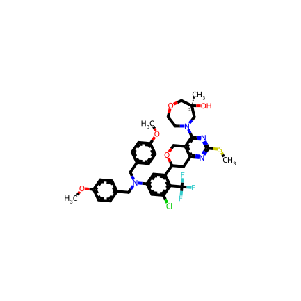 COc1ccc(CN(Cc2ccc(OC)cc2)c2cc(Cl)c(C(F)(F)F)c(C3Cc4nc(SC)nc(N5CCOC[C@@](C)(O)C5)c4CO3)c2)cc1